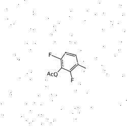 CC(=O)Oc1c(F)ccc(C)c1F